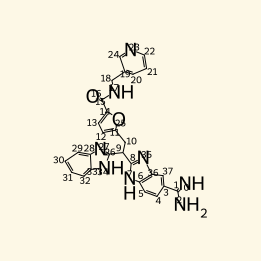 N=C(N)c1ccc2[nH]c(C(Cc3ccc(C(=O)NCc4cccnc4)o3)c3nc4ccccc4[nH]3)nc2c1